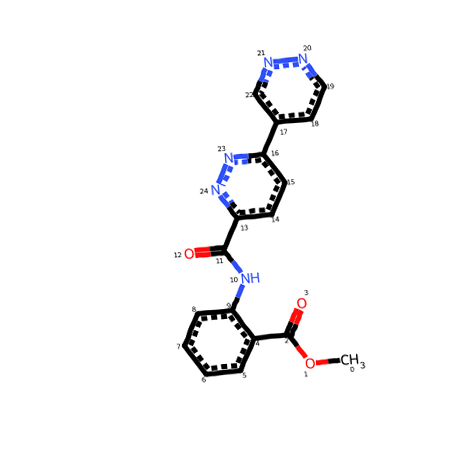 COC(=O)c1ccccc1NC(=O)c1ccc(-c2ccnnc2)nn1